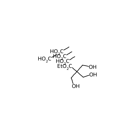 CC(=O)O.CC(=O)O.CC(=O)O.CC(=O)O.CCOC(=O)C(CO)(CO)CO